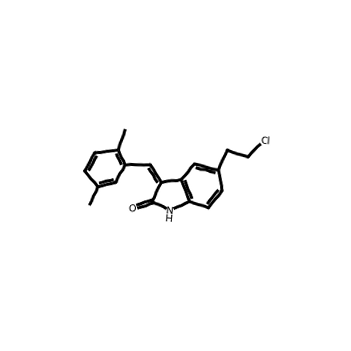 Cc1ccc(C)c(C=C2C(=O)Nc3ccc(CCCl)cc32)c1